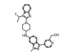 Cn1nc(-c2ccnc(CO)c2)c2ccc(NC3CCN(c4nc5ccccc5n4C(F)F)CC3)cc21